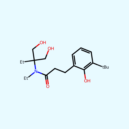 CCN(C(=O)CCc1cccc(C(C)(C)C)c1O)C(CC)(CO)CO